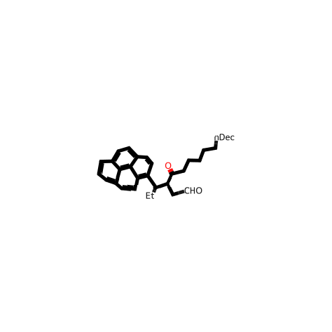 CCCCCCCCCCCCCCCC(=O)C(CC=O)C(CC)c1ccc2ccc3cccc4ccc1c2c34